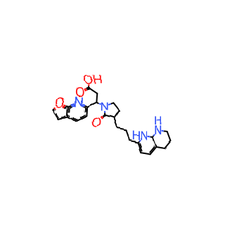 O=C(O)CC(c1ccc2ccoc2n1)N1CCC(CCCC2=CC=C3CCCNC3N2)C1=O